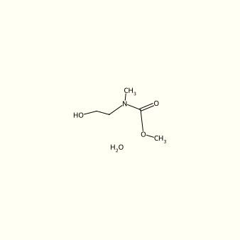 COC(=O)N(C)CCO.O